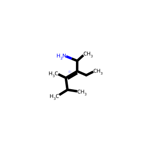 CC/C(=C(/C)C(C)C)C(C)N